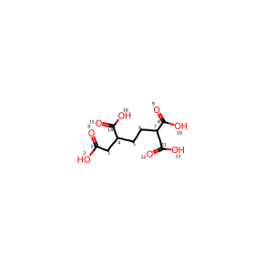 O=C(O)CC(CCC(C(=O)O)C(=O)O)C(=O)O